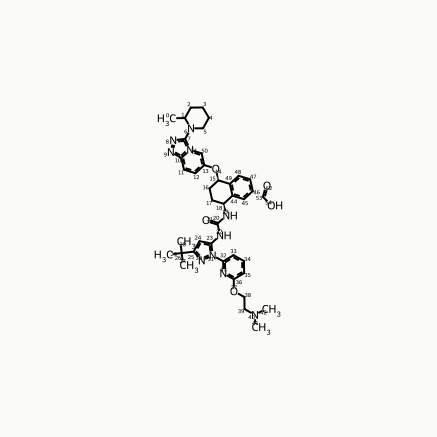 CC1CCCCN1c1nnc2ccc(O[C@@H]3CC[C@H](NC(=O)Nc4cc(C(C)(C)C)nn4-c4cccc(OCCN(C)C)n4)c4ccccc43)cn12.O=CO